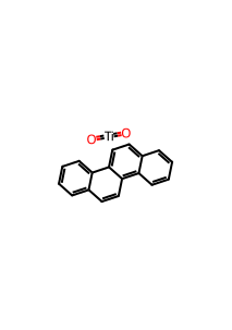 [O]=[Ti]=[O].c1ccc2c(c1)ccc1c3ccccc3ccc21